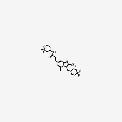 Cc1cc(C=CC(=O)NC2CCOC(C)(C)C2)cc2nc(C(F)(F)F)c(CC3CCC(F)(F)CC3)n12